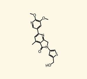 COc1cc(-c2cc(C)c3c(n2)CN(c2csc(CO)c2)C3=O)cnc1OC